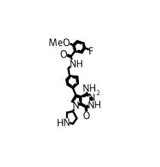 COc1ccc(F)cc1C(=O)NCc1ccc(-c2cn(C3CCNC3)c3c(=O)[nH]nc(N)c23)cc1